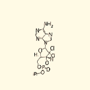 CC(C)O[P@@]1(=O)OC[C@H]2O[C@@H](n3cnc4c(N)ncnc43)C(Cl)(Cl)[C@@H]2O1